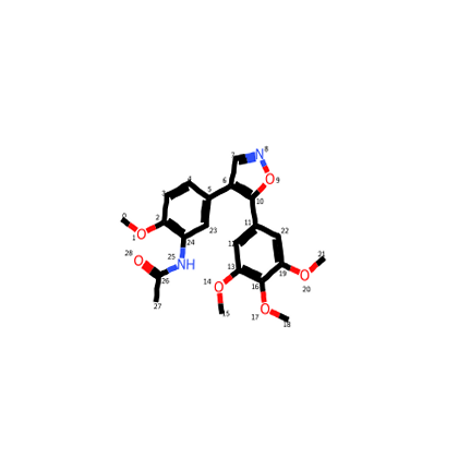 COc1ccc(-c2cnoc2-c2cc(OC)c(OC)c(OC)c2)cc1NC(C)=O